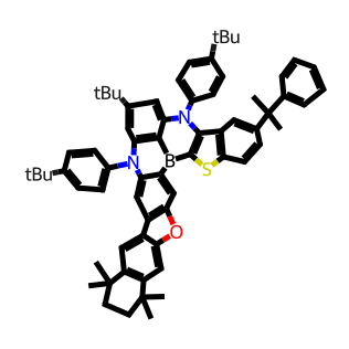 CC(C)(C)c1ccc(N2c3cc4c(cc3B3c5sc6ccc(C(C)(C)c7ccccc7)cc6c5N(c5ccc(C(C)(C)C)cc5)c5cc(C(C)(C)C)cc2c53)oc2cc3c(cc24)C(C)(C)CCC3(C)C)cc1